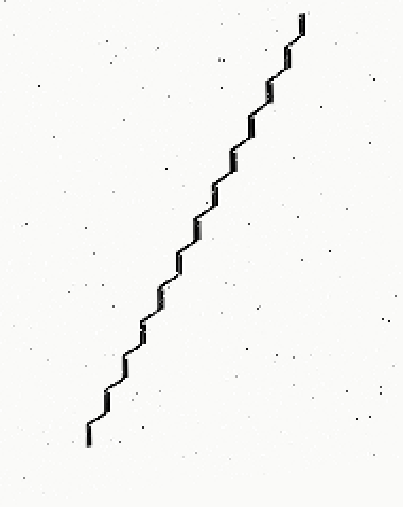 [CH]=CC=CC=CC=CC=CC=CC=CC=CC=CC=CC=CC=CC=C